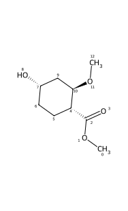 COC(=O)[C@@H]1CC[C@H](O)C[C@H]1OC